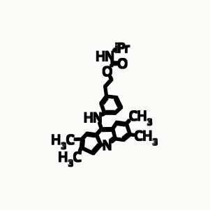 Cc1cc2nc3cc(C)c(C)cc3c(Nc3cccc(CCOC(=O)NC(C)C)c3)c2cc1C